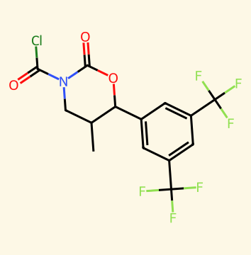 CC1CN(C(=O)Cl)C(=O)OC1c1cc(C(F)(F)F)cc(C(F)(F)F)c1